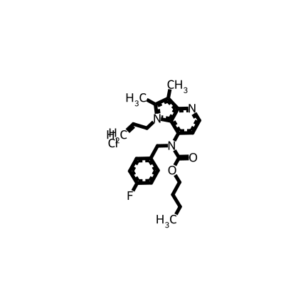 C=CCn1c(C)c(C)c2nccc(N(Cc3ccc(F)cc3)C(=O)OCCCC)c21.Cl